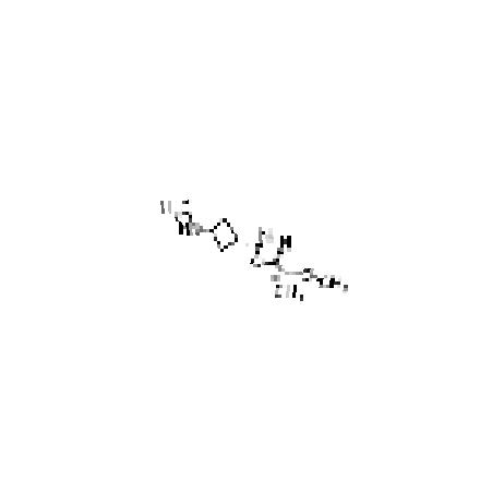 CN[C@H]1C[C@H](c2nnc([C@@H](C)OC)o2)C1